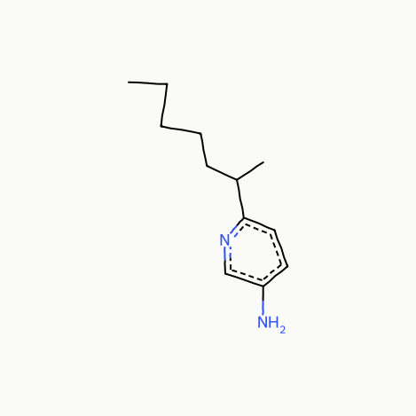 CCCCCC(C)c1ccc(N)cn1